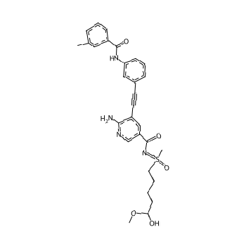 COC(O)CCCCS(C)(=O)=NC(=O)c1cnc(N)c(C#Cc2cccc(NC(=O)c3cccc(C)c3)c2)c1